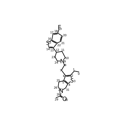 CCc1sc2c(c1CCN1CCC(c3csc4cc(F)ccc34)CC1)CCN(C(C)=O)C2